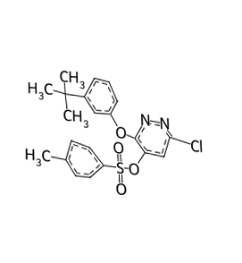 Cc1ccc(S(=O)(=O)Oc2cc(Cl)nnc2Oc2cccc(C(C)(C)C)c2)cc1